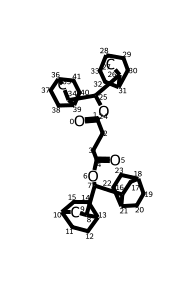 O=C(CCC(=O)OC(C1CC2CCC1CC2)C1CC2CCC1CC2)OC(C1CC2CCC1CC2)C1CC2CCC1CC2